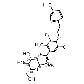 CO[C@H]1O[C@H](CO)[C@@H](O)[C@H](O)[C@H]1OC(=O)c1cc(Cl)c(OCCc2ccc(C)cc2)c(Cl)c1C